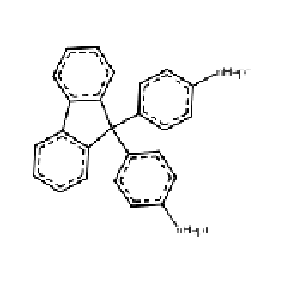 CCCCCCCc1ccc(C2(c3ccc(CCCCCCC)cc3)c3ccccc3-c3ccccc32)cc1